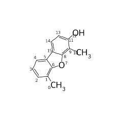 Cc1cccc2c1oc1c(C)c(O)ccc12